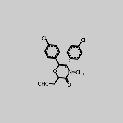 CN1C(=O)C(CC=O)OC(c2ccc(Cl)cc2)[C@@H]1c1ccc(Cl)cc1